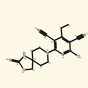 CCc1c(C#N)c(Cl)nc(N2CCC3(CC2)COC(=O)N3)c1C#N